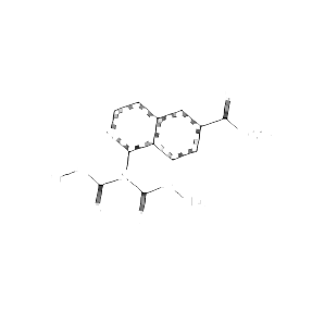 COC(=O)c1ccc2c(N(C(=O)OC(C)(C)C)C(=O)OC(C)(C)C)nccc2c1